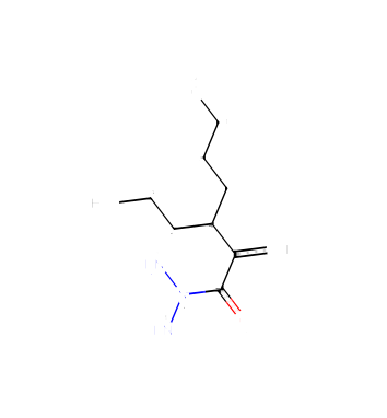 C=C(C(=O)N(N)N)C(CCC)CCCC